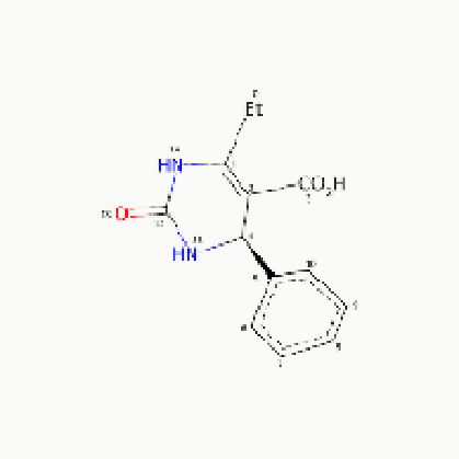 CCC1=C(C(=O)O)[C@@H](c2ccccc2)NC(=O)N1